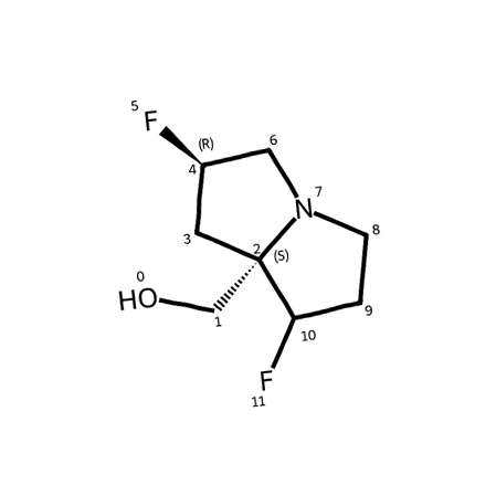 OC[C@]12C[C@@H](F)CN1CCC2F